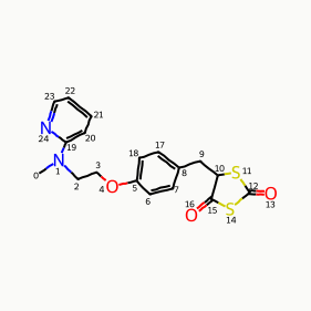 CN(CCOc1ccc(CC2SC(=O)SC2=O)cc1)c1ccccn1